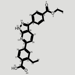 CCOC(=O)c1ccc(-c2n[nH]c3nc(-c4ccc(C(=O)O)c(CC)c4)ccc23)cc1